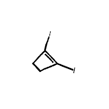 IC1=C(I)CC1